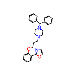 c1ccc(C(c2ccccc2)N2CCN(CCCOc3ccccc3-c3ncco3)CC2)cc1